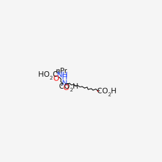 CCCC(NC(=O)CCC(NC(=O)CCCCCCCCCCCCCCC(=O)O)C(=O)O)C(=O)O